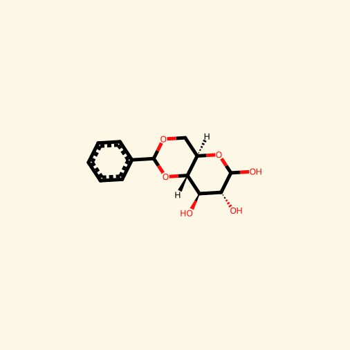 OC1O[C@@H]2COC(c3ccccc3)O[C@H]2[C@H](O)[C@H]1O